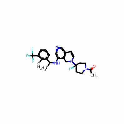 CC(=O)N1CCC(F)(N2C=Cc3cncc(NC(C)c4cccc(C(F)(F)F)c4C)c3C2)CC1